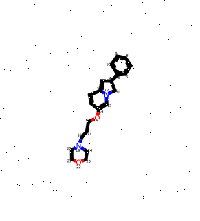 C1=CC2=CC(c3ccccc3)CN2C=C1OCCCN1CCOCC1